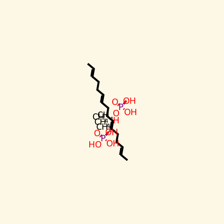 C.C.C.C.CC=CCCC=CCCC=CCCC=CC.O=P(O)(O)O.O=P(O)(O)O